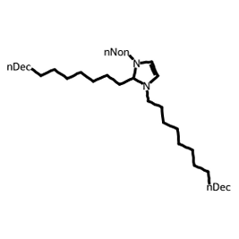 CCCCCCCCCCCCCCCCCCN1C=CN(CCCCCCCCC)C1CCCCCCCCCCCCCCCCC